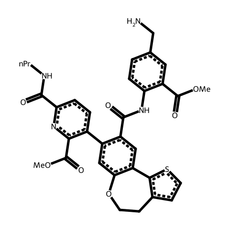 CCCNC(=O)c1ccc(-c2cc3c(cc2C(=O)Nc2ccc(CN)cc2C(=O)OC)-c2sccc2CCO3)c(C(=O)OC)n1